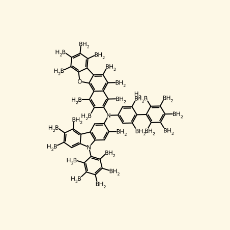 Bc1cc2c(cc1N(c1cc(B)c(-c3c(B)c(B)c(B)c(B)c3B)c(B)c1)c1c(B)c(B)c3c(c1B)c(B)c(B)c1c3oc3c(B)c(B)c(B)c(B)c31)c1c(B)c(B)c(B)cc1n2-c1c(B)c(B)c(B)c(B)c1B